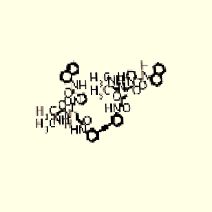 CN[C@@H](C)C(=O)N[C@@H](CCC(=O)Nc1cccc(C#Cc2cccc(NC(=O)CC[C@H](NC(=O)[C@H](C)NC)C(=O)N3CCC[C@H]3C(=O)N[C@@H]3CCCc4ccccc43)c2)c1)C(=O)N1CCC[C@H]1C(=O)N[C@@H]1CCCc2ccccc21